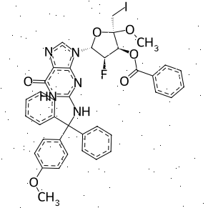 COc1ccc(C(Nc2nc3c(ncn3[C@@H]3O[C@@](CI)(OC)[C@@H](OC(=O)c4ccccc4)[C@H]3F)c(=O)[nH]2)(c2ccccc2)c2ccccc2)cc1